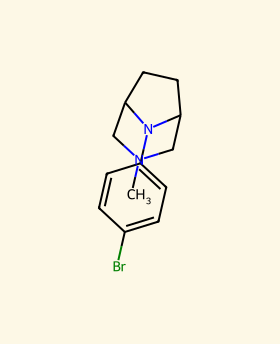 CN1CC2CCC(C1)N2c1ccc(Br)cc1